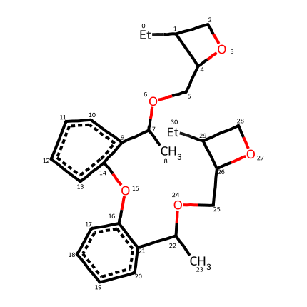 CCC1COC1COC(C)c1ccccc1Oc1ccccc1C(C)OCC1OCC1CC